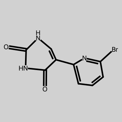 O=c1[nH]cc(-c2cccc(Br)n2)c(=O)[nH]1